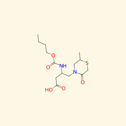 CCCCOC(=O)NC(CC(=O)O)CN1CC(C)SCC1=O